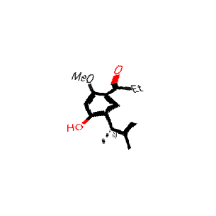 [CH2]CC(=O)c1cc([C@@H](C)C(=C)C)c(O)cc1OC